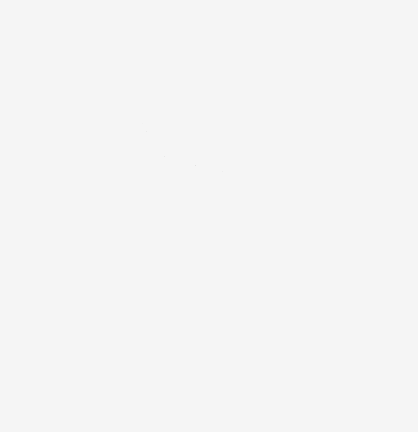 O=C(O)c1ccccc1CCCCC(S)(S)c1ccccc1C(=O)O